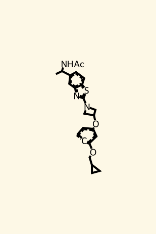 CC(=O)NC(C)c1ccc2sc(N3CC(Oc4cccc(OCC5CC5)c4)C3)nc2c1